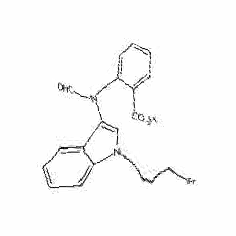 CC(C)CCn1cc(N(C=O)c2ccccc2C(=O)O)c2ccccc21